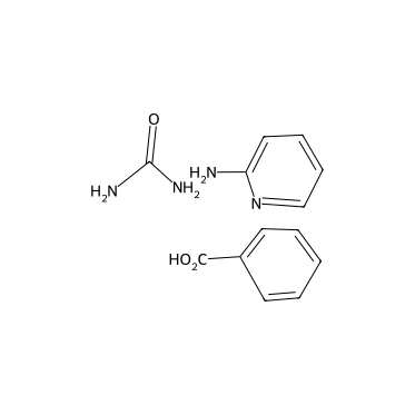 NC(N)=O.Nc1ccccn1.O=C(O)c1ccccc1